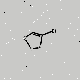 [CH2]CC1=CSSS1